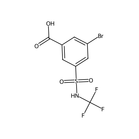 O=C(O)c1cc(Br)cc(S(=O)(=O)NC(F)(F)F)c1